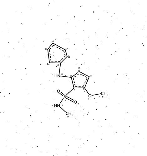 CNS(=O)(=O)c1c(OC)csc1Nc1ccccc1